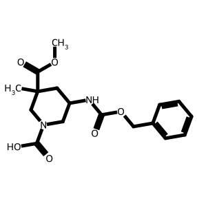 COC(=O)C1(C)CC(NC(=O)OCc2ccccc2)CN(C(=O)O)C1